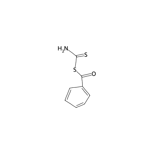 NC(=S)SC(=O)c1ccccc1